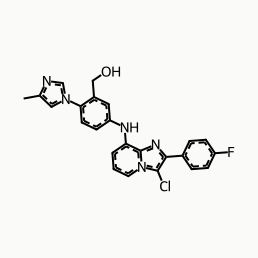 Cc1cn(-c2ccc(Nc3cccn4c(Cl)c(-c5ccc(F)cc5)nc34)cc2CO)cn1